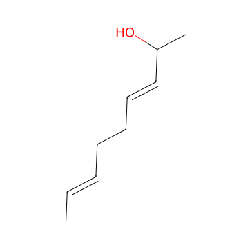 C/C=C/CC/C=C/C(C)O